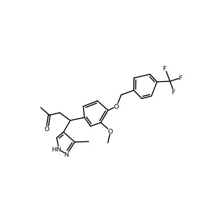 COc1cc(C(CC(C)=O)c2c[nH]nc2C)ccc1OCc1ccc(C(F)(F)F)cc1